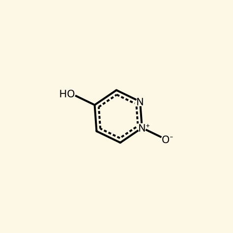 [O-][n+]1ccc(O)cn1